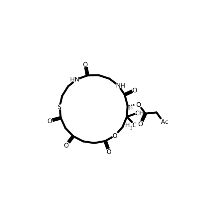 CC(=O)CC(=O)O[C@H]1C(=O)NCCC(=O)NCCSC(=O)CC(=O)CCC(=O)OCC1(C)C